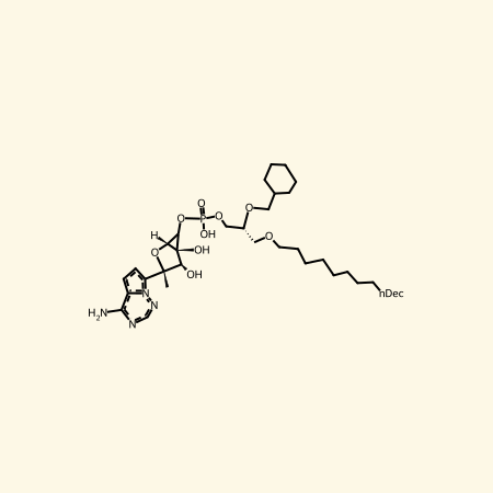 CCCCCCCCCCCCCCCCCCOC[C@H](COP(=O)(O)OC1[C@H]2O[C@@](C)(c3ccc4c(N)ncnn34)[C@H](O)[C@@]12O)OCC1CCCCC1